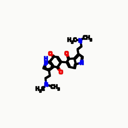 CN(C)CCC1=C2C(=O)C(C3=CC(=O)c4[nH]cc(CCN(C)C)c4C3=O)=CC=C2N=C1